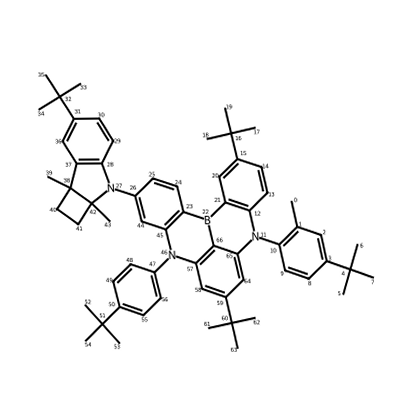 Cc1cc(C(C)(C)C)ccc1N1c2ccc(C(C)(C)C)cc2B2c3ccc(N4c5ccc(C(C)(C)C)cc5C5(C)CCC45C)cc3N(c3ccc(C(C)(C)C)cc3)c3cc(C(C)(C)C)cc1c32